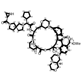 CCn1c(-c2cc(N3CCN4CCOC[C@@H]4C3)cnc2[C@H](C)OC)c2c3cc(ccc31)N1CCO[C@@H](C[C@H](NC(=O)[C@H](C3CCCC3)N3CC[C@]4(CCN(C(=O)[C@H]5CN5)C4)C3)C(=O)N3CCC[C@H](N3)C(=O)OCC(C)(C)C2)C1